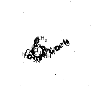 Cc1c(Cl)c2c(Cl)c(C)c1-c1c(-c3ccc(F)cc3)sc3ncnc(c13)O[C@@H](C(=O)O)Cc1cc(ccc1OCc1ccnc(N3CCC(F)(COC[C@@H]4COCCO4)CC3)n1)OCC(CN1CCN(C)CC1)O2